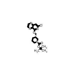 CC(C)(C)OC(=O)N1CCC[C@H](COc2nc(Cl)cc3nccnc23)C1